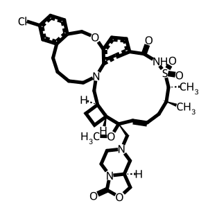 CO[C@@]1(CN2CCN3C(=O)OC[C@@H]3C2)/C=C/C[C@H](C)[C@@H](C)S(=O)(=O)NC(=O)c2ccc3c(c2)N(CCCCc2cc(Cl)ccc2CO3)C[C@@H]2CC[C@H]21